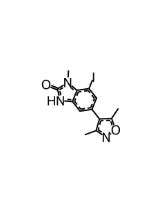 Cc1noc(C)c1-c1cc(I)c2c(c1)[nH]c(=O)n2C